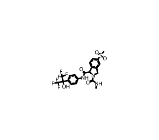 CNC(=O)N1Cc2cc(S(C)(=O)=O)ccc2C1C(=O)Nc1ccc(C(O)(C(F)(F)F)C(F)(F)F)cc1